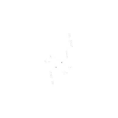 COC(CCN=C=O)(OC)C(N=C=O)(OC)OC